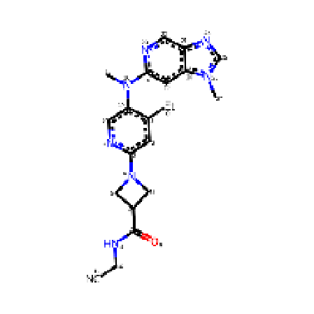 CCc1cc(N2CC(C(=O)NCC#N)C2)ncc1N(C)c1cc2c(cn1)ncn2C